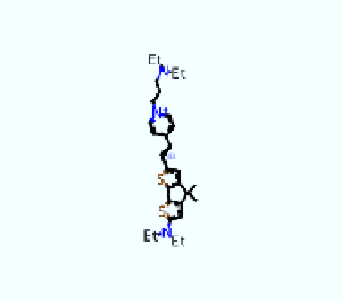 CCN(CC)CCC[n+]1ccc(/C=C/c2cc3c(s2)-c2sc(N(CC)CC)cc2C3(C)C)cc1